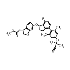 COC(=O)C[C@@H]1COc2cc(O[C@@H]3CCc4c(-c5c(C)cc(OC(C)(C)C#N)cc5C)ccc(F)c43)ccc21